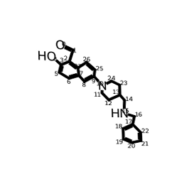 O=Cc1c(O)ccc2cc(N3CCC(CNCc4ccccc4)CC3)ccc12